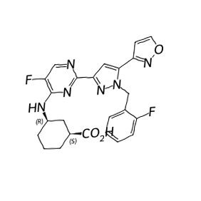 O=C(O)[C@H]1CCC[C@@H](Nc2nc(-c3cc(-c4ccon4)n(Cc4ccccc4F)n3)ncc2F)C1